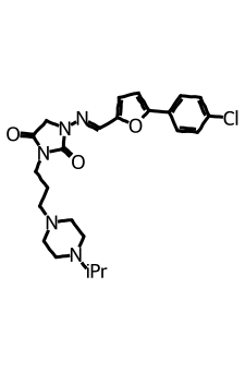 CC(C)N1CCN(CCCN2C(=O)CN(N=Cc3ccc(-c4ccc(Cl)cc4)o3)C2=O)CC1